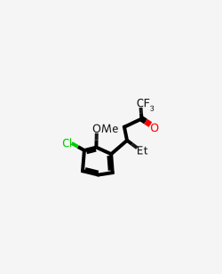 CCC(CC(=O)C(F)(F)F)c1cccc(Cl)c1OC